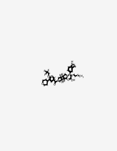 CSCC[C@@H](C(=O)O)N(c1ccc2[nH]nnc2c1)N1C[C@@H]2[C@@H]3CN(C(=O)c4cnc(OCC(F)(F)F)c(C5CCOCC5)c4)C[C@@H]3[C@@H]2C1